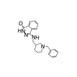 O=c1[nH]nc(NCC2CCCN(Cc3ccccc3)C2)c2ccccc12